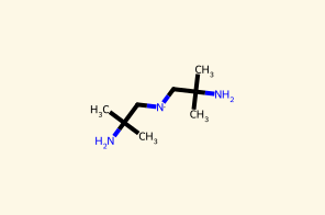 CC(C)(N)C[N]CC(C)(C)N